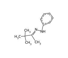 C/C(=N\Nc1ccccc1)C(C)(C)C